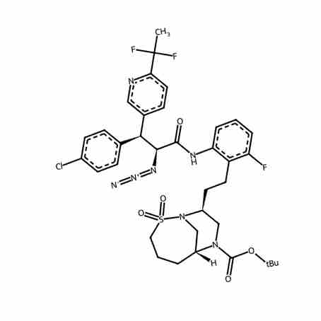 CC(C)(C)OC(=O)N1C[C@H](CCc2c(F)cccc2NC(=O)[C@@H](N=[N+]=[N-])[C@@H](c2ccc(Cl)cc2)c2ccc(C(C)(F)F)nc2)N2C[C@H]1CCCS2(=O)=O